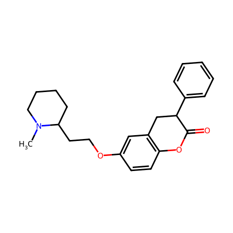 CN1CCCCC1CCOc1ccc2c(c1)CC(c1ccccc1)C(=O)O2